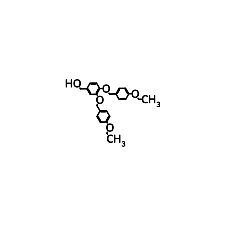 CCOc1ccc(COc2ccc(CO)cc2OCc2ccc(OCC)cc2)cc1